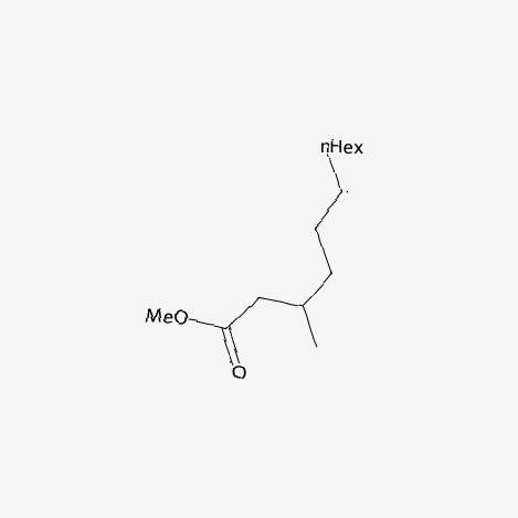 CCCCCC[CH]CCC(C)CC(=O)OC